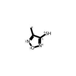 Cc1nonc1S